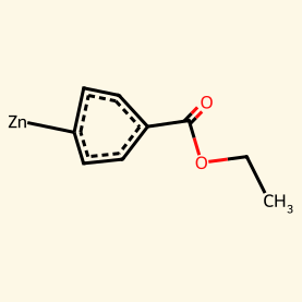 CCOC(=O)c1cc[c]([Zn])cc1